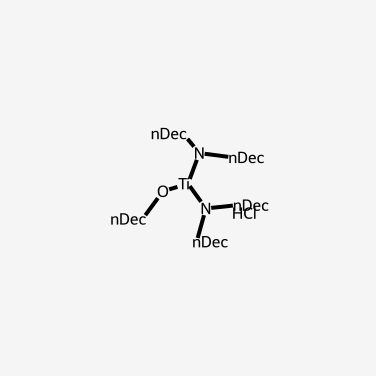 CCCCCCCCCC[O][Ti]([N](CCCCCCCCCC)CCCCCCCCCC)[N](CCCCCCCCCC)CCCCCCCCCC.Cl